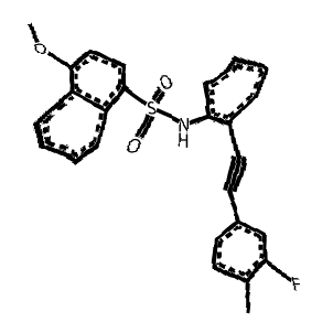 COc1ccc(S(=O)(=O)Nc2ccccc2C#Cc2ccc(C)c(F)c2)c2ccccc12